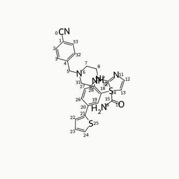 N#Cc1ccc(CN2CCN(C3=NC=CS3(C(N)=O)c3cc(-c4cccs4)ccc3N)CC2)cc1